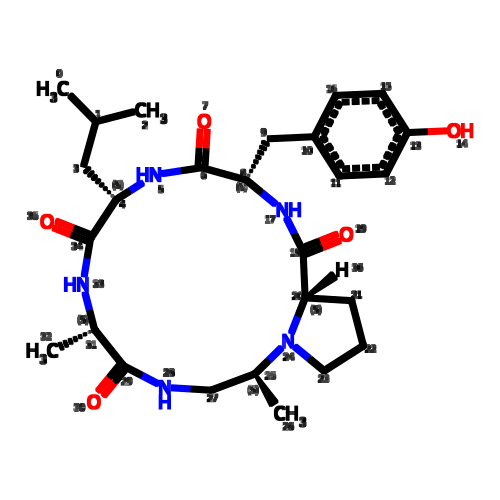 CC(C)C[C@@H]1NC(=O)[C@H](Cc2ccc(O)cc2)NC(=O)[C@@H]2CCCN2[C@@H](C)CNC(=O)[C@H](C)NC1=O